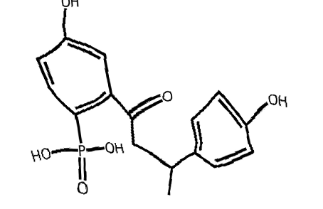 CC(CC(=O)c1cc(O)ccc1P(=O)(O)O)c1ccc(O)cc1